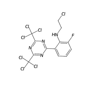 Fc1cccc(-c2nc(C(Cl)(Cl)Cl)nc(C(Cl)(Cl)Cl)n2)c1NCCCl